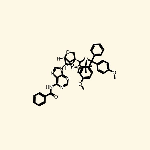 COc1ccc(C(OC[C@@]23CO[C@@H]([C@H](n4cnc5c(NC(=O)c6ccccc6)ncnc54)O2)[C@@H]3O[Si](C)(C)C(C)(C)C)(c2ccccc2)c2ccc(OC)cc2)cc1